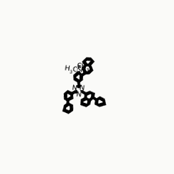 C[Si]1(C)c2ccc(-c3nc(-c4cccc(-c5ccccc5)c4)nc(-c4ccc(-c5ccccc5)c5ccccc45)n3)cc2-c2ccc3ccccc3c21